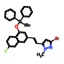 Cn1nc(Br)cc1C=Cc1cc(O[Si](c2ccccc2)(c2ccccc2)C(C)(C)C)c2ccc(F)cc2c1